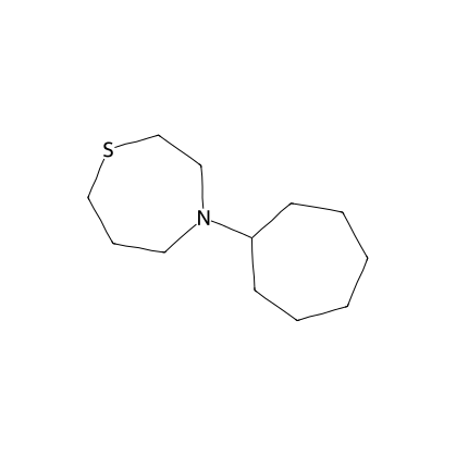 C1CCCC(N2CCCSCC2)CC1